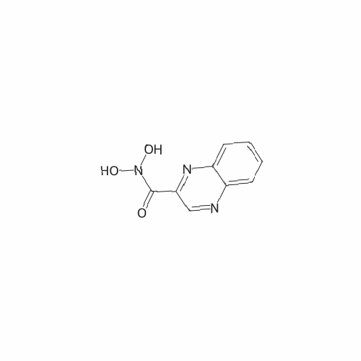 O=C(c1cnc2ccccc2n1)N(O)O